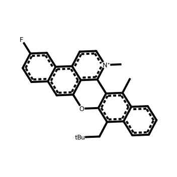 Cc1c2c(c(CC(C)(C)C)c3ccccc13)Oc1cc3ccc(F)cc3c3cc[n+](C)c-2c13